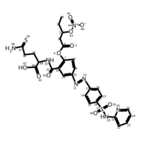 CCC(CC(=O)Oc1ccc(/N=N/c2ccc(S(=O)(=O)Nc3ccccn3)cc2)cc1C(=O)NC(CCC(N)=S)C(=O)O)O[N+](=O)[O-]